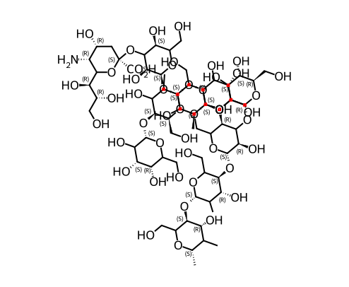 CC1C(O)[C@H](O[C@@H]2OC(CO)[C@H](O)[C@H](O)C2O)[C@H](CO)O[C@H]1O[C@@H]1C(O)[C@H](O)C(CO)O[C@@H]1OCC1O[C@@H](O[C@@H]2C(CO)O[C@@H](O[C@@H]3C(CO)O[C@@H](C)C(C)[C@H]3O)C(C)[C@H]2O)[C@H](O)C(O[C@H]2O[C@H](CO)[C@@H](O)C(O)C2O[C@@H]2OC(CO)[C@@H](O[C@@H]3OC(CO)[C@H](O)C(O[C@]4(C(=O)O)C[C@@H](O)[C@@H](N)C([C@H](O)[C@H](O)CO)O4)[C@@H]3O)C(O)[C@@H]2C)[C@@H]1O